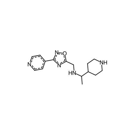 CC(NCc1nc(-c2ccncc2)no1)C1CCNCC1